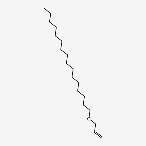 C=CCOCCCCCCCCCCCCCCCC